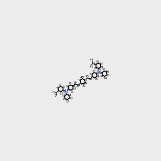 CC(C)c1cccc(N(c2ccccc2)c2ccc(C=Cc3ccc(C=Cc4ccc(N(c5ccccc5)c5cccc(C(C)C)c5)cc4)cc3)cc2)c1